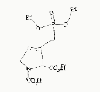 CCOC(=O)C1C(CP(=O)(OCC)OCC)=CCN1C(=O)OCC